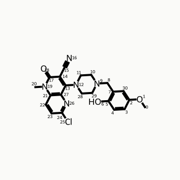 COc1ccc(O)c(CN2CCN(c3c(C#N)c(=O)n(C)c4ccc(Cl)nc34)CC2)c1